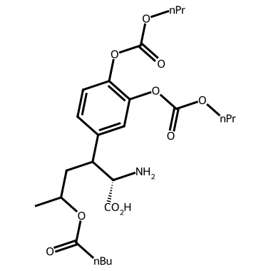 CCCCC(=O)OC(C)CC(c1ccc(OC(=O)OCCC)c(OC(=O)OCCC)c1)[C@H](N)C(=O)O